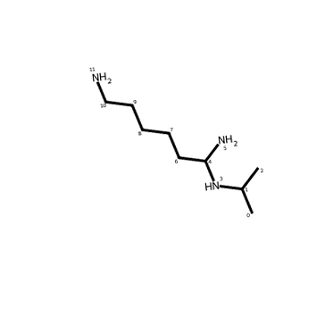 CC(C)NC(N)CCCCCN